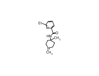 CCc1cccc(C(=O)NC2(C)CCN(C)CC2)n1